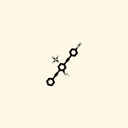 F[B-](F)(F)F.N#[N+]c1ccc(C#Cc2ccc(C#Cc3ccccc3)c([N+](=O)[O-])c2)cc1